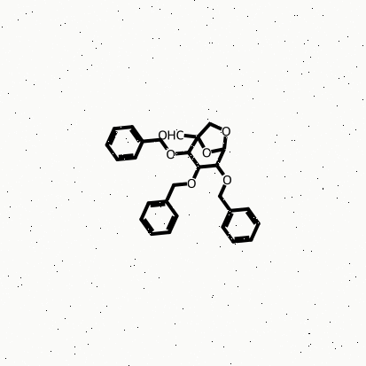 O=CC12COC(O1)C(OCc1ccccc1)C(OCc1ccccc1)C2OCc1ccccc1